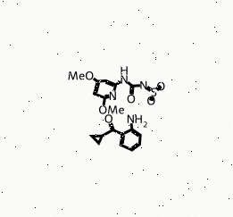 COc1cc(NC(=O)N=S(=O)=O)nc(OC)c1.Nc1ccccc1C(=O)C1CC1